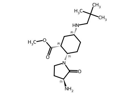 COC(=O)[C@@H]1C[C@H](NCC(C)(C)C)CC[C@@H]1N1CC[C@H](N)C1=O